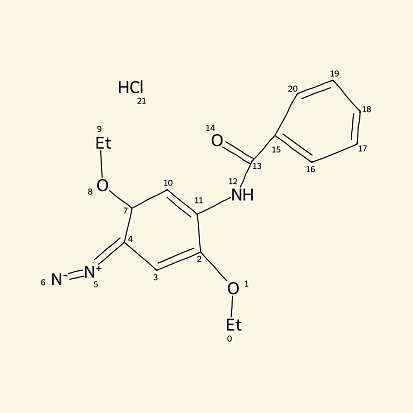 CCOC1=CC(=[N+]=[N-])C(OCC)C=C1NC(=O)c1ccccc1.Cl